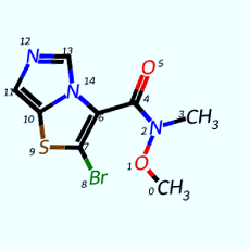 CON(C)C(=O)c1c(Br)sc2cncn12